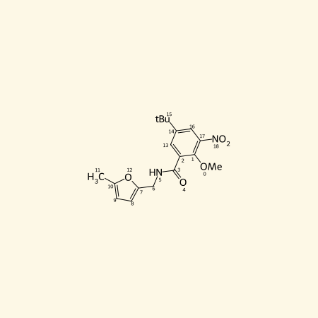 COc1c(C(=O)NCc2ccc(C)o2)cc(C(C)(C)C)cc1[N+](=O)[O-]